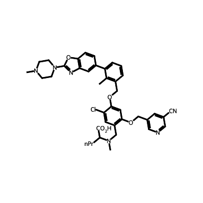 CCCC(C(=O)O)N(C)Cc1cc(Cl)c(OCc2cccc(-c3ccc4oc(N5CCN(C)CC5)nc4c3)c2C)cc1OCc1cncc(C#N)c1